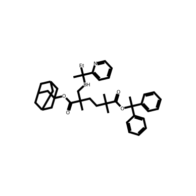 CCC(C)(BCC(C)(CCC(C)(C)C(=O)OC(C)(c1ccccc1)c1ccccc1)C(=O)OC12CC3CC(CC(C3)C1)C2)c1ccccn1